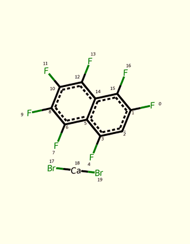 Fc1[c]c(F)c2c(F)c(F)c(F)c(F)c2c1F.[Br][Ca][Br]